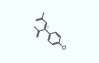 C=C(C)/C=C(\C(=C)C)c1ccc(Cl)cc1